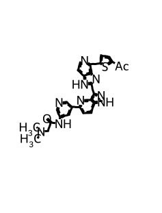 CC(=O)c1ccc(-c2nccc3[nH]c(-c4n[nH]c5ccc(-c6cncc(NC(=O)CN(C)C)c6)nc45)nc23)s1